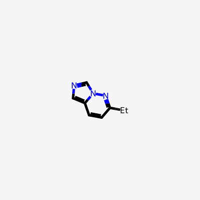 CCc1ccc2cncn2n1